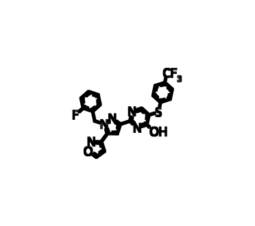 Oc1nc(-c2cc(-c3ccon3)n(Cc3ccccc3F)n2)ncc1Sc1ccc(C(F)(F)F)cc1